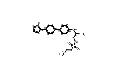 CCCS(=O)(=O)NCC(C)Oc1ccc(-c2ccc(-c3cccs3)cc2)cc1